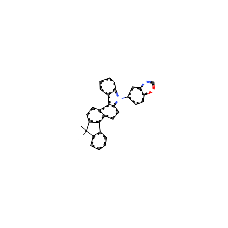 CC1(C)c2ccccc2-c2c1ccc1c2ccc2c1c1ccccc1n2-c1ccc2ocnc2c1